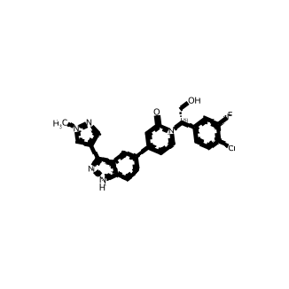 Cn1cc(-c2n[nH]c3ccc(-c4ccn([C@H](CO)c5ccc(Cl)c(F)c5)c(=O)c4)cc23)cn1